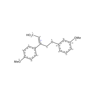 COc1ccc(/C(=C\C(=O)O)COc2cccc(OC)c2)cc1